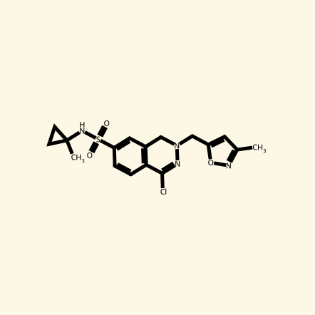 Cc1cc(CN2Cc3cc(S(=O)(=O)NC4(C)CC4)ccc3C(Cl)=N2)on1